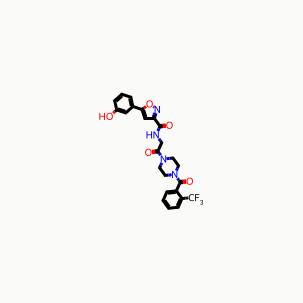 O=C(NCC(=O)N1CCN(C(=O)c2ccccc2C(F)(F)F)CC1)c1cc(-c2cccc(O)c2)on1